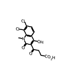 Cn1c(=O)c(C(=O)CCC(=O)O)c(O)c2ccc(Cl)c(Cl)c21